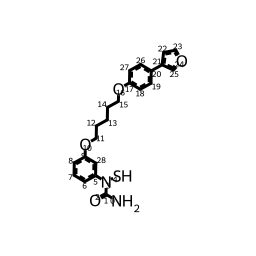 NC(=O)N(S)c1cccc(OCCCCCOc2ccc(-c3ccoc3)cc2)c1